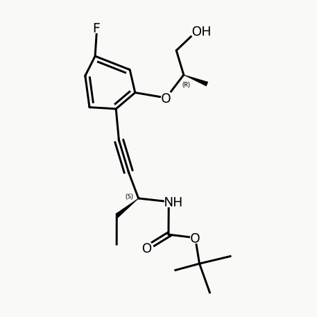 CC[C@@H](C#Cc1ccc(F)cc1O[C@H](C)CO)NC(=O)OC(C)(C)C